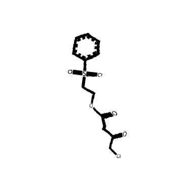 O=C(CCl)CC(=O)OCCS(=O)(=O)c1ccccc1